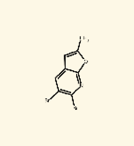 Cc1cc2cc(Br)c(Br)nc2o1